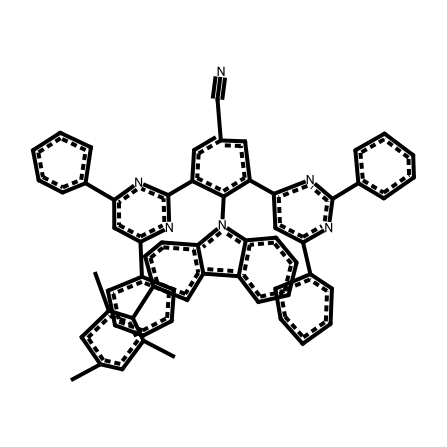 Cc1cc(C)c(-c2ccc3c(c2)c2ccccc2n3-c2c(-c3cc(-c4ccccc4)nc(-c4ccccc4)n3)cc(C#N)cc2-c2nc(-c3ccccc3)cc(-c3ccccc3)n2)c(C)c1